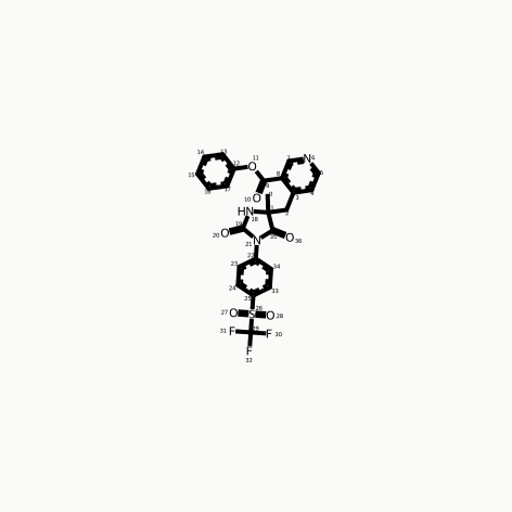 CC1(Cc2ccncc2C(=O)Oc2ccccc2)NC(=O)N(c2ccc(S(=O)(=O)C(F)(F)F)cc2)C1=O